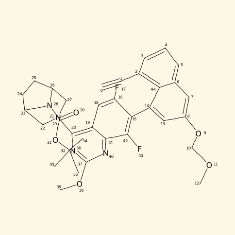 C#Cc1cccc2cc(OCOC)cc(-c3c(F)cc4c(N5CC6CCC(C5)N6C(=O)OC(C)(C)C)nc(OC)nc4c3F)c12